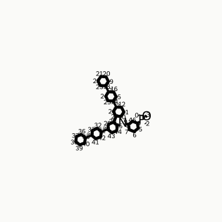 CP(C)(=O)c1cccc(-n2c3ccc(-c4ccc(-c5ccccc5)cc4)cc3c3cc(-c4ccc(-c5ccccc5)cc4)ccc32)c1